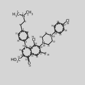 CN(C)CCc1ccc(-n2cc(C(=O)O)c(=O)c3cc(F)c(N4CCN(c5ccc(Cl)cc5)CC4)c(Cl)c32)cc1